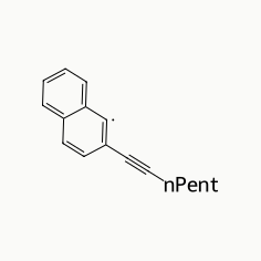 CCCCCC#Cc1[c]c2ccccc2cc1